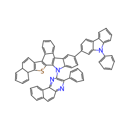 C1=CC2C=Cc3c(sc4c3c3ccccc3c3c5cc(-c6ccc7c8ccccc8n(-c8ccccc8)c7c6)ccc5n(-c5nc6c(ccc7ccccc76)nc5-c5ccccc5)c43)C2C=C1